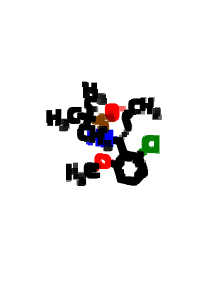 C=CC[C@@H](N[S@@+]([O-])C(C)(C)C)c1c(Cl)cccc1OC